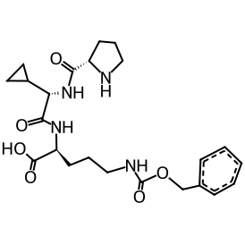 O=C(NCCC[C@H](NC(=O)[C@@H](NC(=O)[C@@H]1CCCN1)C1CC1)C(=O)O)OCc1ccccc1